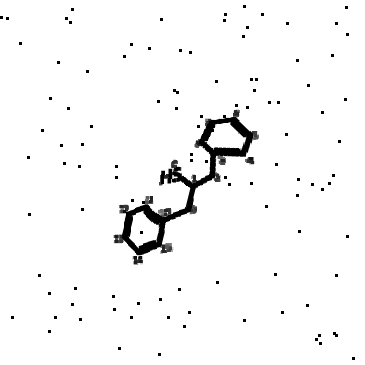 SC(Cc1ccccc1)Cc1ccccc1